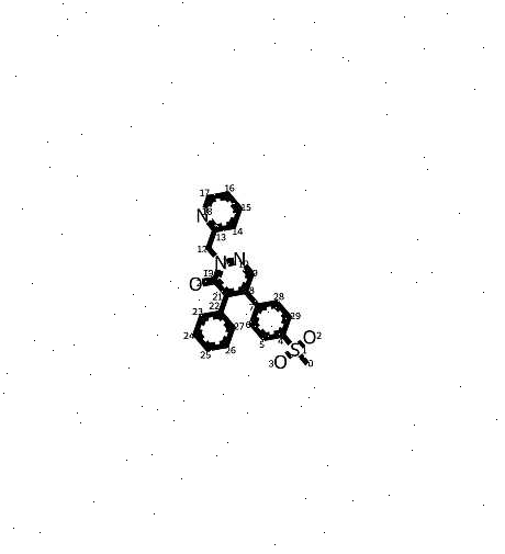 CS(=O)(=O)c1ccc(-c2cnn(Cc3ccccn3)c(=O)c2-c2ccccc2)cc1